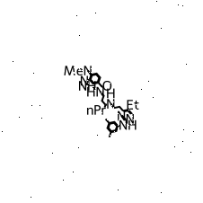 CCCC(CCNC(=O)c1ccc(NC)c(N=N)c1)NCCc1nc(Nc2cc(C)cc(C)c2)ncc1CC